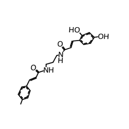 Cc1ccc(/C=C/C(=O)NCCCNC(=O)/C=C/c2ccc(O)cc2O)cc1